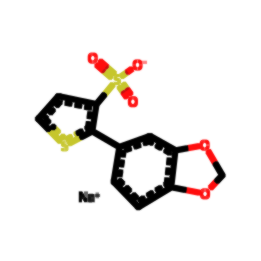 O=S(=O)([O-])c1ccsc1-c1ccc2c(c1)OCO2.[Na+]